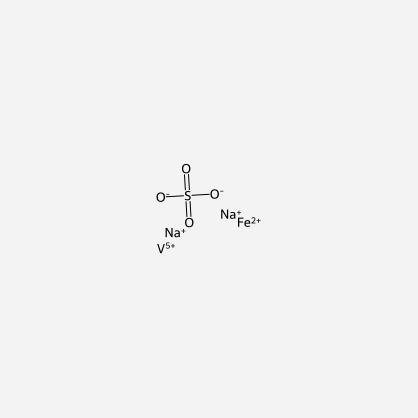 O=S(=O)([O-])[O-].[Fe+2].[Na+].[Na+].[V+5]